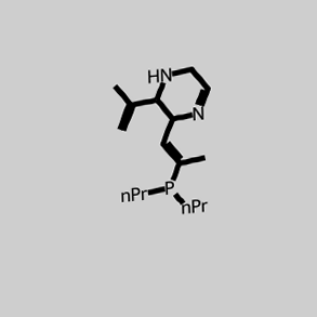 C=C(C)C1NCC=NC1/C=C(\C)P(CCC)CCC